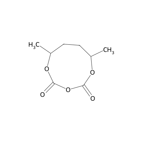 CC1CCC(C)OC(=O)OC(=O)O1